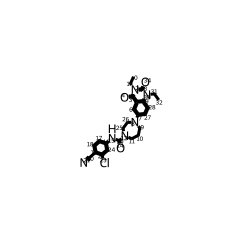 CCn1c(=O)c2cc(N3CCCN(C(=O)Nc4ccc(C#N)c(Cl)c4)CC3)ccc2n(CC)c1=O